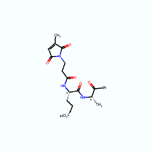 CC1=CC(=O)N(CCC(=O)N[C@@H](CCC(=O)O)C(=O)N[C@@H](C)C(=O)C(C)C)C1=O